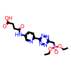 CCOP(=O)(Cc1nnc(-c2ccc(NC(=O)CCC(=O)O)cn2)nn1)OCC